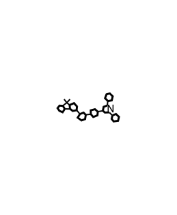 CC1(C)c2ccccc2-c2cc(-c3cccc(-c4ccc(-c5cc(-c6ccccc6)nc(-c6ccccc6)c5)cc4)c3)ccc21